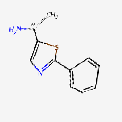 C[C@@H](N)c1cnc(-c2ccccc2)s1